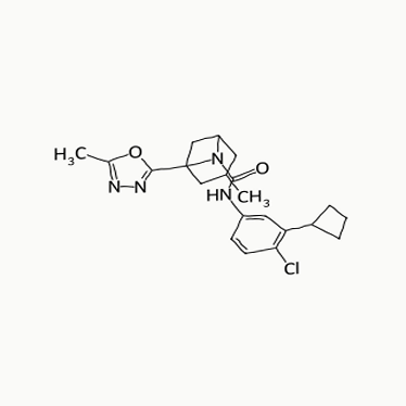 Cc1nnc(C23CC(C)CC(C2)N3C(=O)Nc2ccc(Cl)c(C3CCC3)c2)o1